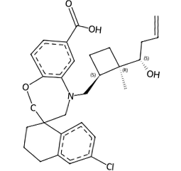 C=CC[C@H](O)[C@]1(C)CC[C@@H]1CN1CC2(CCCc3cc(Cl)ccc32)COc2ccc(C(=O)O)cc21